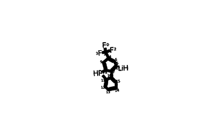 FC(F)(F)c1ccc2c(c1)[pH]c1ccccc12.[LiH]